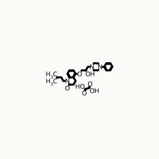 CC(C)CCN1C(=O)CCc2c(OCC(O)CN3CCN(c4ccccc4)CC3)cccc21.O=C(O)C(=O)O